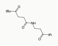 CC(C)C(=O)CCNC(=O)CCC(=O)C(C)(C)C